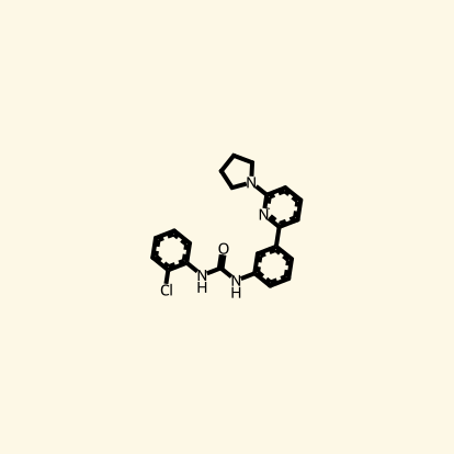 O=C(Nc1cccc(-c2cccc(N3CCCC3)n2)c1)Nc1ccccc1Cl